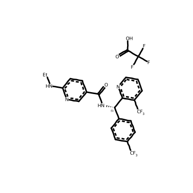 CCNc1ccc(C(=O)N[C@@H](c2ccc(C(F)(F)F)cc2)c2ncccc2C(F)(F)F)cn1.O=C(O)C(F)(F)F